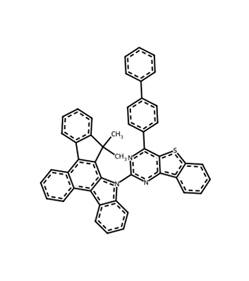 CC1(C)c2ccccc2-c2c1c1c(c3ccccc23)c2ccccc2n1-c1nc(-c2ccc(-c3ccccc3)cc2)c2sc3ccccc3c2n1